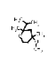 COC1(C)CCOC(C)(C(C)C)C1